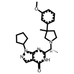 COc1cccc(C2(C)CCN([C@H](C)c3nc4c(cnn4C4CCCC4)c(=O)[nH]3)C2)c1